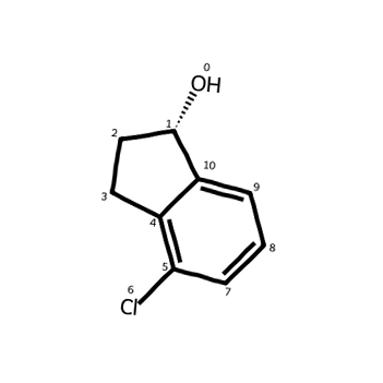 O[C@H]1CCc2c(Cl)cccc21